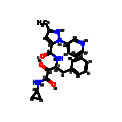 Cc1cc(C(=O)N[C@@H](Cc2ccccc2)C(=O)C(=O)NC2CC2)n(-c2cccnc2)n1